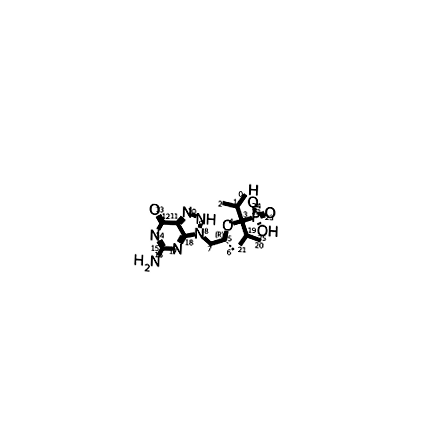 CC(C)C(O[C@H](C)Cn1[nH]nc2c(=O)nc(N)nc1-2)(C(C)C)P(=O)(O)O